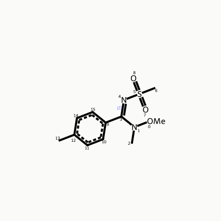 CON(C)/C(=N\S(C)(=O)=O)c1ccc(C)cc1